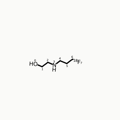 OCCNCCC[18F]